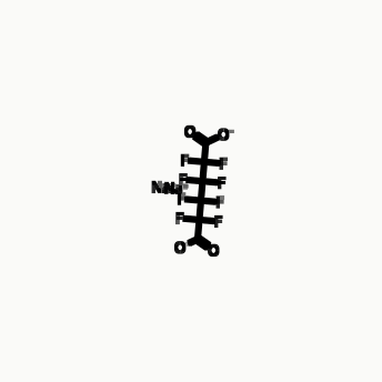 O=C([O-])C(F)(F)C(F)(F)C(F)(F)C(F)(F)C(=O)[O-].[Na+].[Na+]